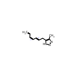 C=C/C=C\C=C\Cc1[nH]nnc1C